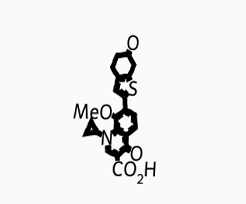 COc1c(-c2cc3c(s2)CC(=O)CC3)ccc2c(=O)c(C(=O)O)cn(C3CC3)c12